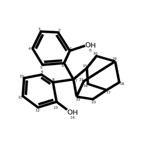 Oc1ccccc1C1(c2ccccc2O)C2CC3CC(C2)CC1C3